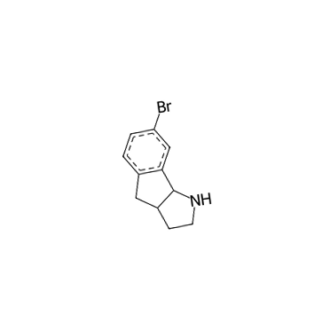 Brc1ccc2c(c1)C1NCCC1C2